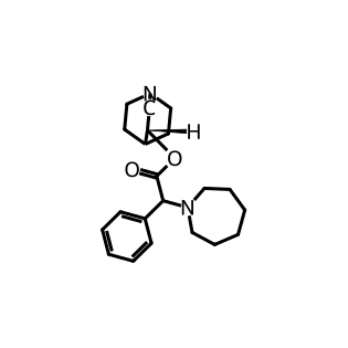 O=C(O[C@H]1CN2CCC1CC2)C(c1ccccc1)N1CCCCCC1